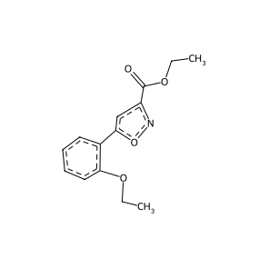 CCOC(=O)c1cc(-c2ccccc2OCC)on1